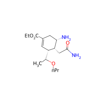 CCCOC(C)[C@@H]1C=C(C(=O)OCC)C[C@H](N)[C@@H]1CC(N)=O